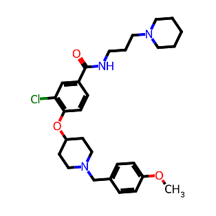 COc1ccc(CN2CCC(Oc3ccc(C(=O)NCCCN4CCCCC4)cc3Cl)CC2)cc1